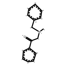 CN(CC(=O)c1cc[c]cc1)Cc1ccccc1